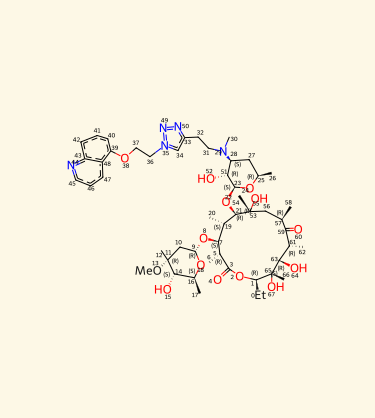 CC[C@H]1OC(=O)[C@H](C)[C@@H](O[C@H]2C[C@@](C)(OC)[C@@H](O)[C@H](C)O2)[C@H](C)[C@@H](O[C@@H]2O[C@H](C)C[C@H](N(C)CCc3cn(CCOc4cccc5ncccc45)nn3)[C@H]2O)[C@](C)(O)C[C@@H](C)C(=O)[C@H](C)[C@@H](O)[C@]1(C)O